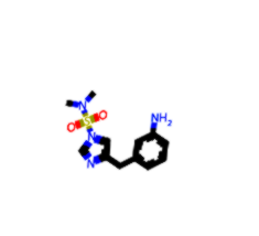 CN(C)S(=O)(=O)n1cnc(Cc2cccc(N)c2)c1